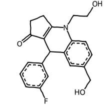 O=C1CCC2=C1C(c1cccc(F)c1)c1cc(CO)ccc1N2CCO